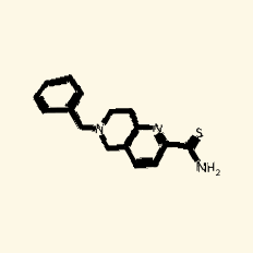 NC(=S)c1ccc2c(n1)CCN(Cc1ccccc1)C2